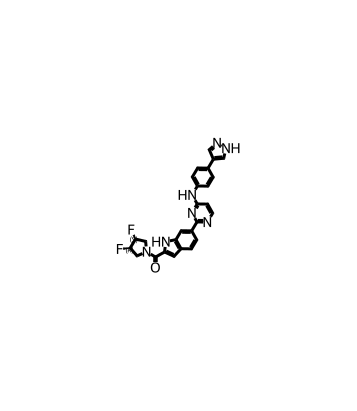 O=C(c1cc2ccc(-c3nccc(Nc4ccc(-c5cn[nH]c5)cc4)n3)cc2[nH]1)N1C[C@@H](F)[C@@H](F)C1